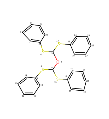 c1ccc(SC(OC(Sc2ccccc2)Sc2ccccc2)Sc2ccccc2)cc1